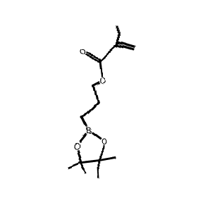 C=C(C)C(=O)OCCCB1OC(C)(C)C(C)(C)O1